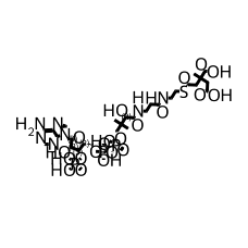 CC(CC(=O)O)(CC(=O)SCCNC(=O)CCNC(=O)[C@H](O)C(C)(C)COP(=O)(O)OP(=O)(O)OC[C@H]1O[C@@H](n2cnc3c(N)ncnc32)[C@H](O)[C@@H]1OP(=O)(O)O)C(=O)O